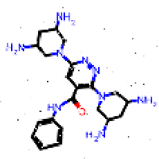 NC1CC(N)CN(c2cc(C(=O)Nc3ccccc3)c(N3CC(N)CC(N)C3)nn2)C1